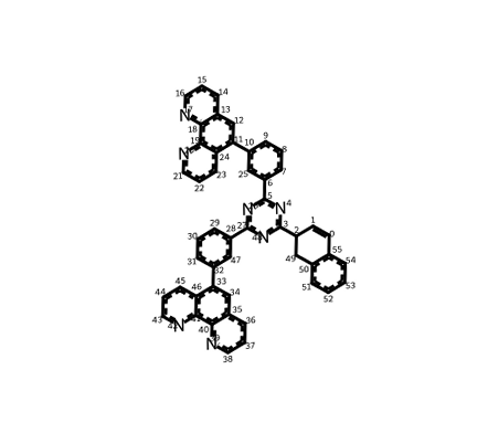 C1=CC(c2nc(-c3cccc(-c4cc5cccnc5c5ncccc45)c3)nc(-c3cccc(-c4cc5cccnc5c5ncccc45)c3)n2)Cc2ccccc21